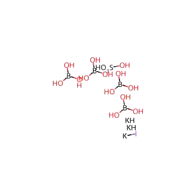 O=S(=O)(O)O.OB(O)O.OB(O)O.OB(O)O.OB(O)O.[KH].[KH].[K][I]